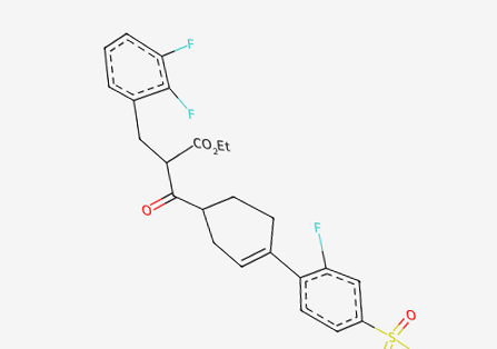 CCOC(=O)C(Cc1cccc(F)c1F)C(=O)C1CC=C(c2ccc(S(C)(=O)=O)cc2F)CC1